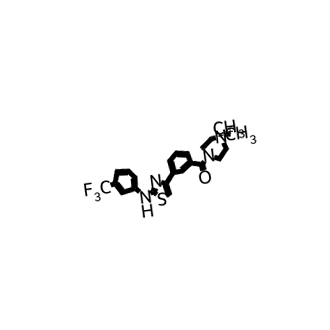 C[N+]1(C)CCN(C(=O)c2cccc(-c3csc(Nc4cccc(C(F)(F)F)c4)n3)c2)CC1